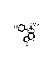 COc1nc2cnc3[nH]ccc3c2n1C1CCNCC1